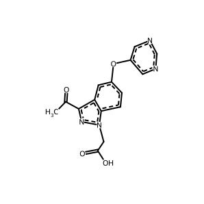 CC(=O)c1nn(CC(=O)O)c2ccc(Oc3cncnc3)cc12